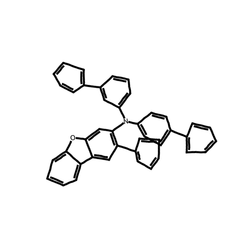 c1ccc(-c2ccc(N(c3cccc(-c4ccccc4)c3)c3cc4oc5ccccc5c4cc3-c3ccccc3)cc2)cc1